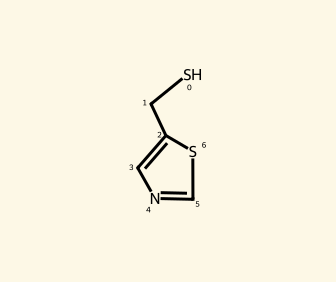 SCc1cncs1